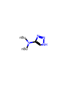 CCCCN(CCCC)c1c[nH]nn1